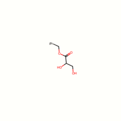 CC(C)COC(=O)C(O)CO